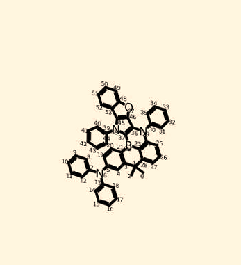 CC1(C)c2cc(N(c3ccccc3)c3ccccc3)ccc2B2c3c(cccc31)N(c1ccccc1)c1c2n(-c2ccccc2)c2c1oc1ccccc12